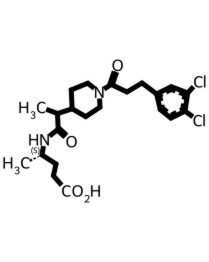 CC(C(=O)N[C@@H](C)CCC(=O)O)C1CCN(C(=O)CCc2ccc(Cl)c(Cl)c2)CC1